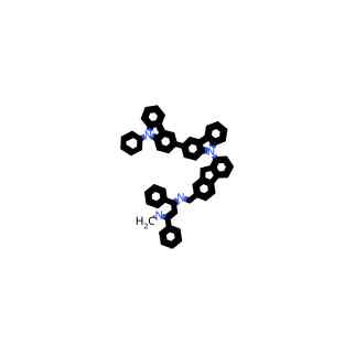 C=N/C(=C\C(=N/Cc1ccc2c(c1)Cc1c-2cccc1-n1c2ccccc2c2cc(-c3ccc4c(c3)c3ccccc3n4C3C=CC=CC3)ccc21)c1ccccc1)c1ccccc1